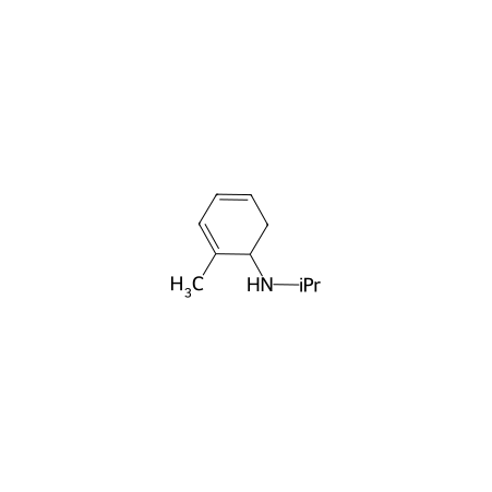 CC1=CC=CCC1NC(C)C